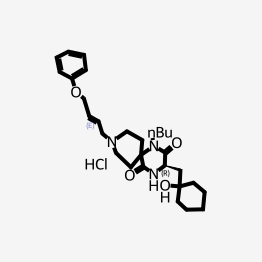 CCCCN1C(=O)[C@@H](CC2(O)CCCCC2)NC(=O)C12CCN(C/C=C/COc1ccccc1)CC2.Cl